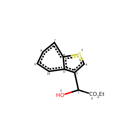 CCOC(=O)C(O)c1csc2ccccc12